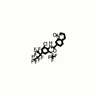 O=C(Nc1c(Cl)cc(C(F)(C(F)(F)F)C(F)(F)C(F)(F)F)cc1SC(F)(F)F)c1ccc2ccc[n+]([O-])c2c1